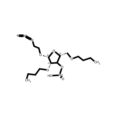 CCCCOC[C@H]1O[C@@H](OCCN=[N+]=[N-])[C@@H](OCCCC)C1O[PH](=O)O